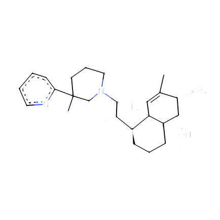 CC(=O)O[C@@H]1[C][C@@]2(O)[C@H](C)CC[C@@H]([C@H](C)CN3CCCC(C)(c4ccccn4)C3)[C@H]2C=C1C